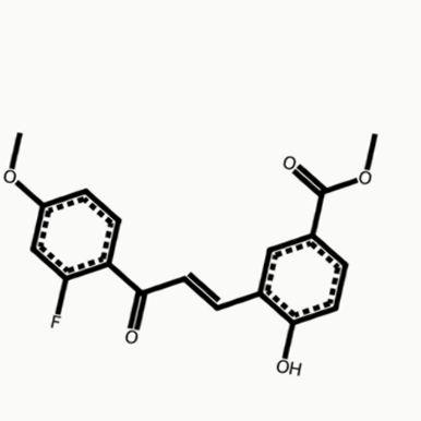 COC(=O)c1ccc(O)c(/C=C/C(=O)c2ccc(OC)cc2F)c1